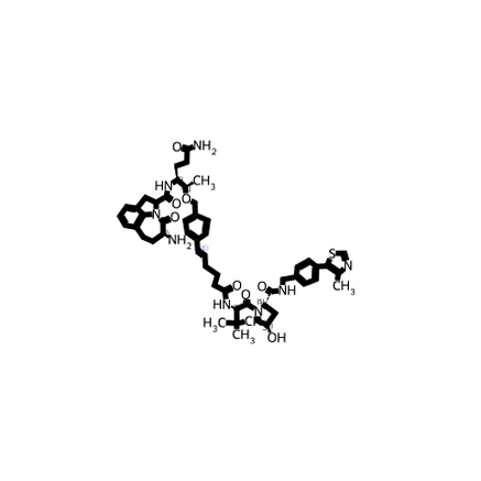 Cc1ncsc1-c1ccc(CNC(=O)[C@@H]2C[C@@H](O)CN2C(=O)[C@@H](NC(=O)CCC/C=C/c2ccc(CO[C@H](C)[C@H](CCC(N)=O)NC(=O)C3Cc4cccc5c4N3C(=O)[C@@H](N)CC5)cc2)C(C)(C)C)cc1